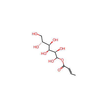 CC=CC(=O)OC(O)[C@H](O)[C@@H](O)[C@H](O)[C@H](O)CO